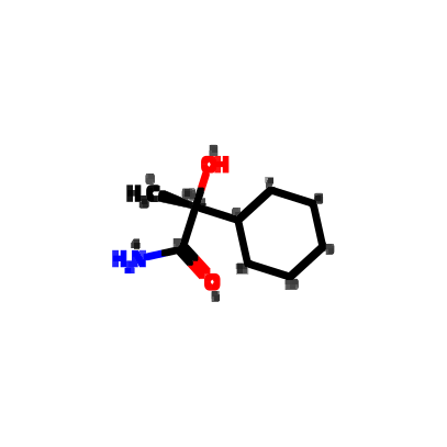 C[C@](O)(C(N)=O)C1CCCCC1